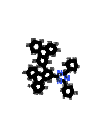 c1ccc(-c2nc(-c3ccccc3)nc(-c3cc(-c4ccc5c6ccccc6c6ccccc6c5c4)c4c5ccccc5c5ccccc5c4c3)n2)cc1